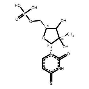 C[C@@]1(O)C(O)[C@@H](COP(=O)(O)O)O[C@H]1n1ccc(=S)[nH]c1=O